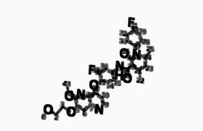 COCCOc1cc2nccc(Oc3ccc(NC(=O)c4c(C)cc(C)n(-c5ccc(F)cc5)c4=O)cc3F)c2nc1OC